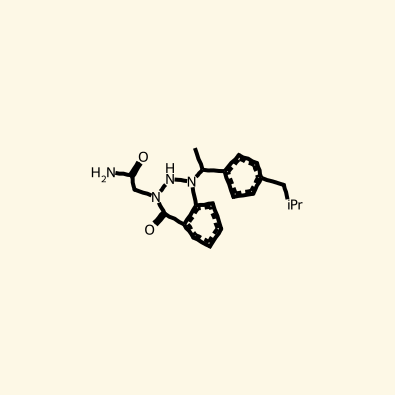 CC(C)Cc1ccc(C(C)N2NN(CC(N)=O)C(=O)c3ccccc32)cc1